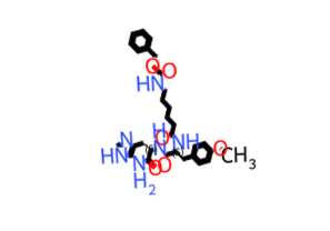 COc1ccc(C[C@H](NC(=O)CCCCCNC(=O)OCc2ccccc2)C(=O)N[C@@H](Cc2c[nH]cn2)C(N)=O)cc1